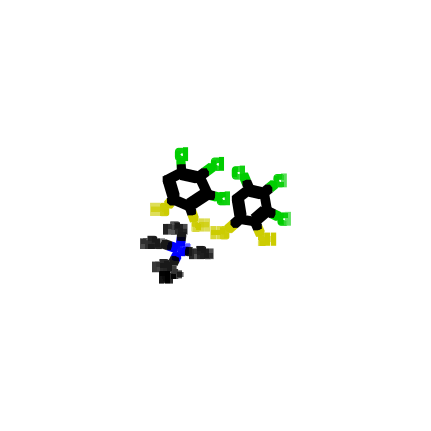 CCCC[N+](CCCC)(CCCC)CCCC.Sc1cc(Cl)c(Cl)c(Cl)c1S.Sc1cc(Cl)c(Cl)c(Cl)c1S.[Ni+2]